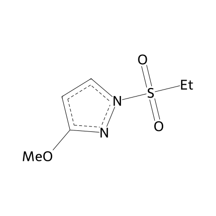 CCS(=O)(=O)n1ccc(OC)n1